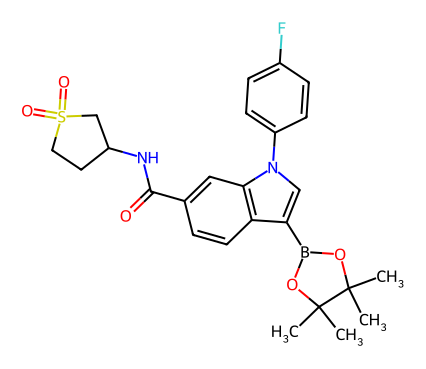 CC1(C)OB(c2cn(-c3ccc(F)cc3)c3cc(C(=O)NC4CCS(=O)(=O)C4)ccc23)OC1(C)C